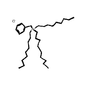 CCCCCCCCC[N+](CCCCCCCCC)(CCCCCCCCC)Cc1ccccc1.[Cl-]